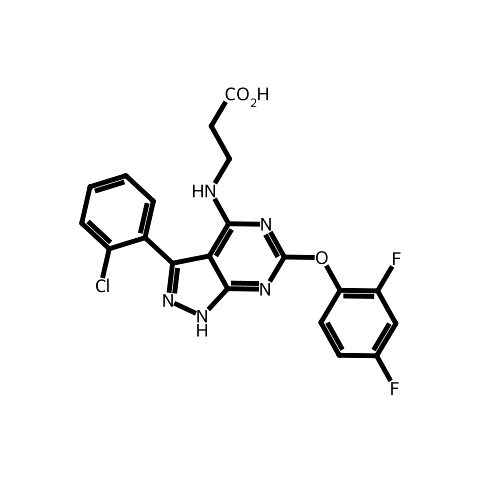 O=C(O)CCNc1nc(Oc2ccc(F)cc2F)nc2[nH]nc(-c3ccccc3Cl)c12